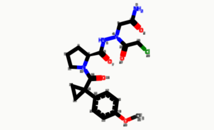 NC(=O)CN(NC(=O)[C@@H]1CCCN1C(=O)C1(c2ccc(OC(F)(F)F)cc2)CC1)C(=O)CCl